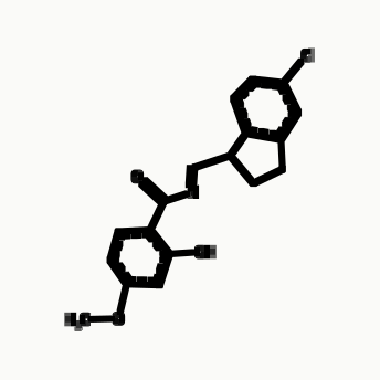 COc1ccc(C(=O)/N=C/C2CCc3cc(Cl)ccc32)c(O)c1